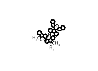 CC1(C)c2ccccc2-c2cc(N(c3cccc4c3-c3ccccc3C4(C)C)C3CC=CC4=C3c3ccccc3C43c4ccc5ccccc5c4Oc4c3ccc3ccccc43)ccc21